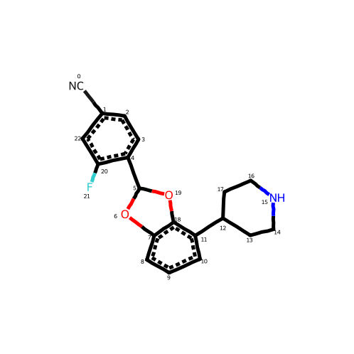 N#Cc1ccc(C2Oc3cccc(C4CCNCC4)c3O2)c(F)c1